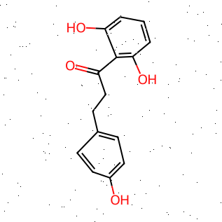 O=C(CCc1ccc(O)cc1)c1c(O)cccc1O